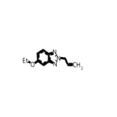 C=CCn1nc2ccc(OCC)cc2n1